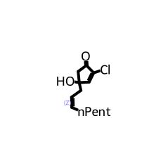 CCCCC/C=C\CC1(O)C=C(Cl)C(=O)C1